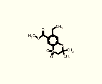 CCc1cc2c(cc1C(=O)OC)S(=O)(=O)CC(C)(C)S2